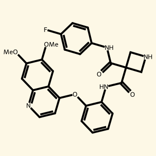 COc1cc2nccc(Oc3ccccc3NC(=O)C3(C(=O)Nc4ccc(F)cc4)CNC3)c2cc1OC